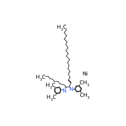 CCCCCCCCCCCCCCCCCC/C=C/C(=N\c1cc(C)cc(C)c1)C(/CCCCCCCC)=N/c1cc(C)cc(C)c1.[Ni]